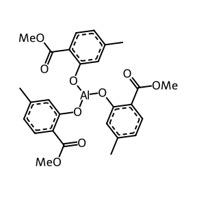 COC(=O)c1ccc(C)cc1[O][Al]([O]c1cc(C)ccc1C(=O)OC)[O]c1cc(C)ccc1C(=O)OC